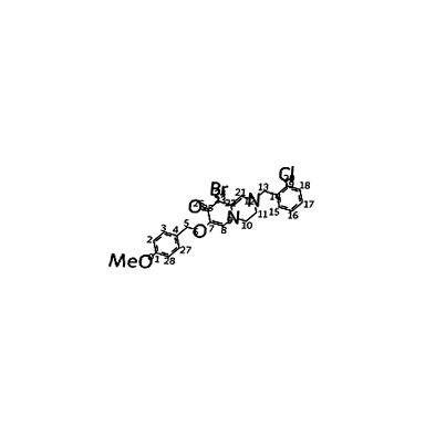 COc1ccc(COC2=CN3CCN(Cc4ccccc4Cl)C=C3C(Br)C2=O)cc1